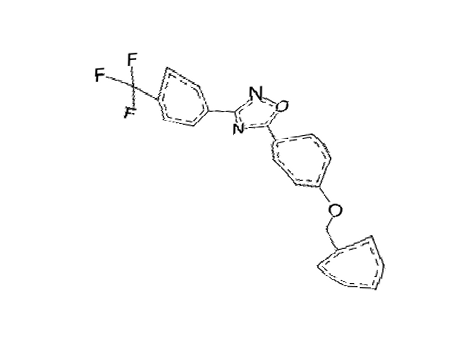 FC(F)(F)c1ccc(-c2noc(-c3ccc(OCc4ccccc4)cc3)n2)cc1